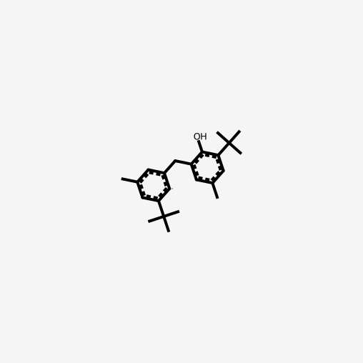 Cc1cc(Cc2cc(C)cc(C(C)(C)C)c2O)[c]c(C(C)(C)C)c1